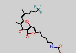 CC(=CC=C(C)C(=O)c1c(O)cc(CCCC=CNC(=O)O)oc1=O)CCCC(F)(F)F